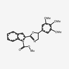 COc1cc(C2CN=C(c3cc4ccccc4n3C(=O)OC(C)(C)C)O2)cc(OC)c1OC